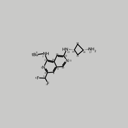 CC(C)(C)Nc1nc(C(F)F)cc2cnc(N[C@H]3C[C@@H](N)C3)cc12